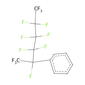 FC(F)(F)C(F)(F)C(F)(F)C(F)(F)C(F)(c1[c]cccc1)C(F)(F)F